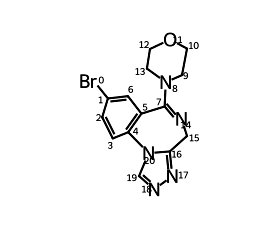 Brc1ccc2c(c1)C(N1CCOCC1)=NCc1nncn1-2